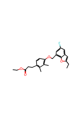 CCOC(=O)CCc1ccc(OCc2cc(F)cc3cc(CC)oc23)c(C)c1C